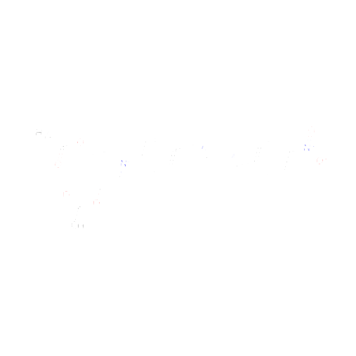 CC(=O)OCCN(CCOC(C)=O)c1ccc(/C=C/C=C/c2ccc([N+](=O)[O-])cc2)cc1